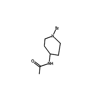 CC(=O)NC1CCN(Br)CC1